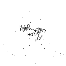 CC(N)C(=O)NCCCN(C(=O)CO)C(c1cc(-c2cc(F)ccc2F)cn1Cc1ccccc1)C(C)(C)C